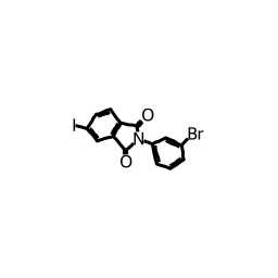 O=C1c2ccc(I)cc2C(=O)N1c1cccc(Br)c1